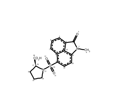 CN1C(=O)c2cccc3c(S(=O)(=O)N4CCC[C@H]4C(=O)O)ccc1c23